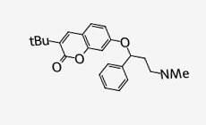 CNCCC(Oc1ccc2cc(C(C)(C)C)c(=O)oc2c1)c1ccccc1